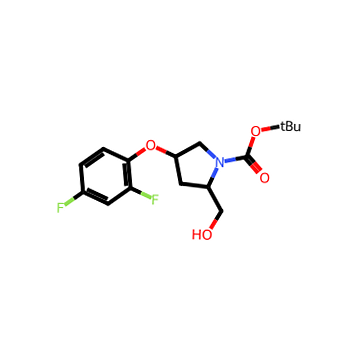 CC(C)(C)OC(=O)N1CC(Oc2ccc(F)cc2F)CC1CO